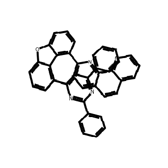 c1ccc(-c2nc(-c3ccccc3)nc(-c3cccc4oc5cccc(-c6ccc7ccc8cccnc8c7n6)c5c34)n2)cc1